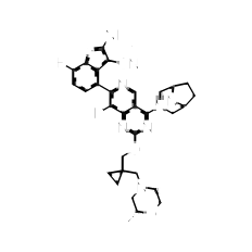 C[C@@H]1CO[C@@H](C)CN1CC1(COc2nc(N3CC4CCC(C3)N4)c3cnc(-c4ccc(F)c5sc(N)c(C#N)c45)c(F)c3n2)CC1